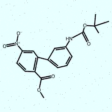 COC(=O)c1ccc([N+](=O)[O-])cc1-c1cccc(NC(=O)OC(C)(C)C)c1